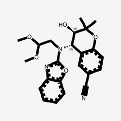 COC(CN(c1nc2ccccc2o1)[C@H]1c2cc(C#N)ccc2OC(C)(C)[C@@H]1O)OC